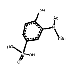 CCCCN(C(C)=O)c1cc([As](=O)(O)O)ccc1O